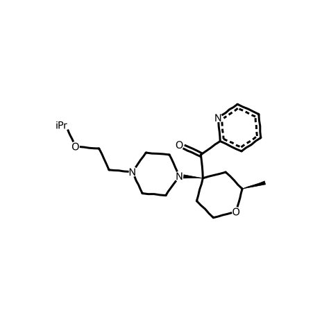 CC(C)OCCN1CCN([C@]2(C(=O)c3ccccn3)CCO[C@H](C)C2)CC1